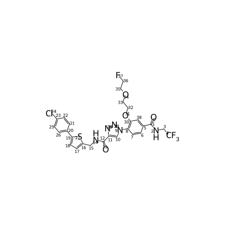 O=C(NCC(F)(F)F)c1ccc(-n2cc(C(=O)NCc3ccc(-c4ccc(Cl)cc4)s3)nn2)c(OCCOCCF)c1